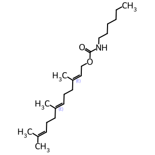 CCCCCCNC(=O)OC/C=C(\C)CC/C=C(\C)CCC=C(C)C